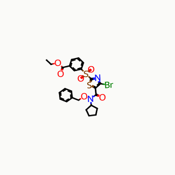 CCOC(=O)c1cccc(S(=O)(=O)c2nc(Br)c(C(=O)N(OCc3ccccc3)C3CCCC3)s2)c1